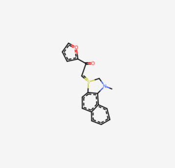 CN1CS(=CC(=O)c2ccco2)c2ccc3ccccc3c21